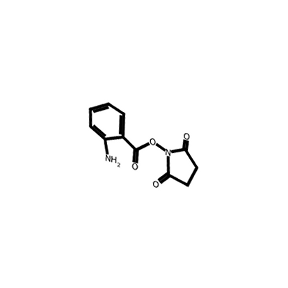 Nc1ccccc1C(=O)ON1C(=O)CCC1=O